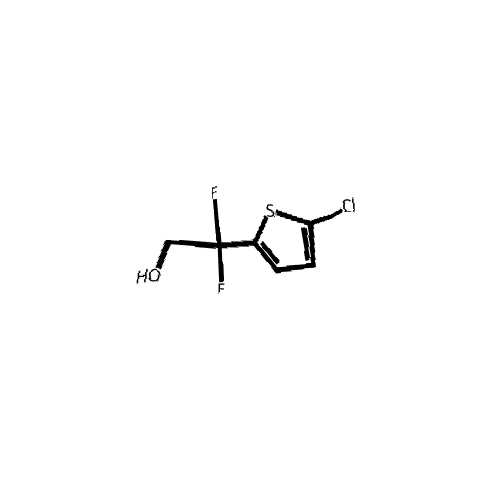 OCC(F)(F)c1ccc(Cl)s1